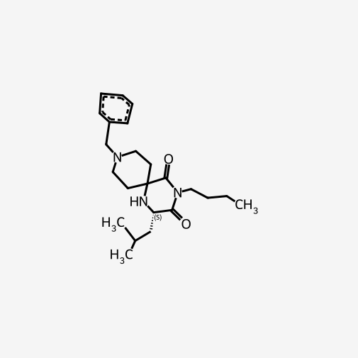 CCCCN1C(=O)[C@H](CC(C)C)NC2(CCN(Cc3ccccc3)CC2)C1=O